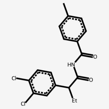 CCC(C(=O)NC(=O)c1ccc(C)cc1)c1ccc(Cl)c(Cl)c1